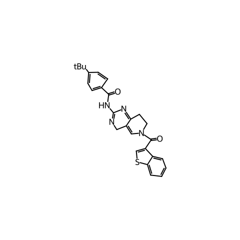 CC(C)(C)c1ccc(C(=O)NC2=NCC3=CN(C(=O)c4csc5ccccc45)CCC3=N2)cc1